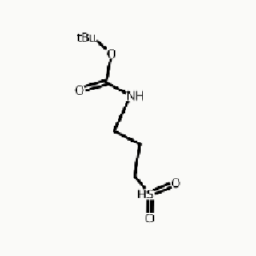 CC(C)(C)OC(=O)NCCC[SH](=O)=O